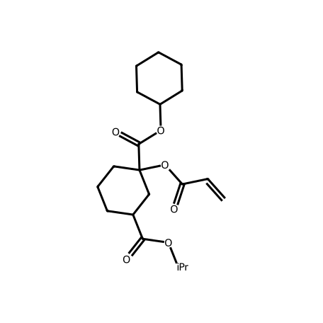 C=CC(=O)OC1(C(=O)OC2CCCCC2)CCCC(C(=O)OC(C)C)C1